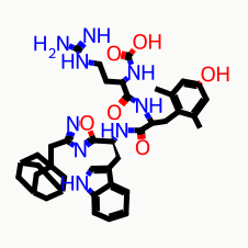 Cc1cc(O)cc(C)c1CC(NC(=O)C(CCNC(=N)N)NC(=O)O)C(=O)N[C@@H](Cc1c[nH]c2ccccc12)c1nc(CC23CC4CC(CC(C4)C2)C3)no1